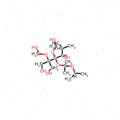 C[SiH](C)O[Si](C)(C)O[Si](O[SiH2]O)([SiH](O)[SiH](C)C)[Si](O[SiH2]O)([SiH2]O)[SiH2]O